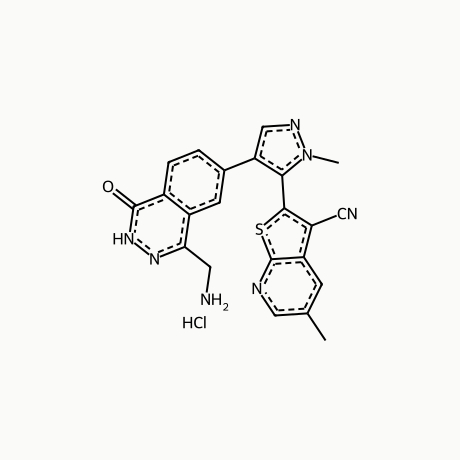 Cc1cnc2sc(-c3c(-c4ccc5c(=O)[nH]nc(CN)c5c4)cnn3C)c(C#N)c2c1.Cl